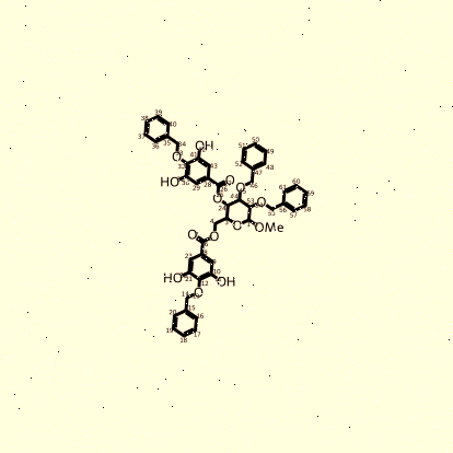 COC1OC(COC(=O)c2cc(O)c(OCc3ccccc3)c(O)c2)C(OC(=O)c2cc(O)c(OCc3ccccc3)c(O)c2)C(OCc2ccccc2)C1OCc1ccccc1